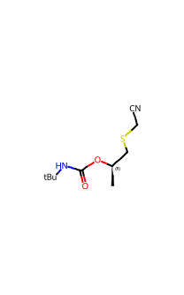 C[C@H](CSCC#N)OC(=O)NC(C)(C)C